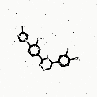 COc1nc(C2=NOCC(c3ccc(C(F)(F)F)c(F)c3)N2)ccc1-n1cnc(C)c1